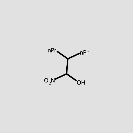 CCCC(CCC)C(O)[N+](=O)[O-]